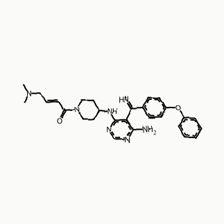 CN(C)C/C=C/C(=O)N1CCC(Nc2ncnc(N)c2C(=N)c2ccc(Oc3ccccc3)cc2)CC1